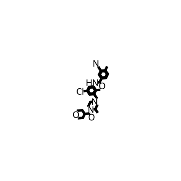 Cc1ccc(C(=O)Nc2cc(Cl)cc(CN3CCN(C(=O)C4CCOCC4)C(C)C3)c2C)cc1C#N